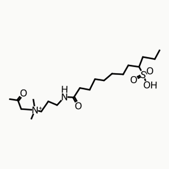 CCCC(CCCCCCCC(=O)NCCC[N+](C)(C)CC(C)=O)S(=O)(=O)O